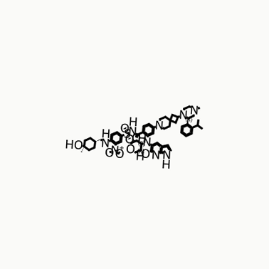 CC(C)c1ccccc1[C@@H]1CN(C)CCN1C1CC2(CCN(c3ccc(C(=O)NS(=O)(=O)c4ccc(NC[C@H]5CC[C@](C)(O)CC5)c([N+](=O)[O-])c4)c(N4c5cc6cc[nH]c6nc5O[C@H]5COCC[C@@H]54)c3)CC2)C1